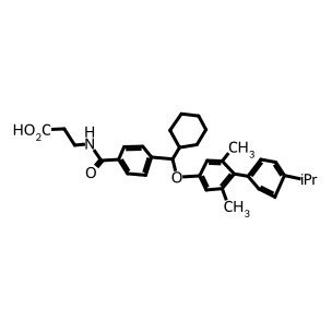 Cc1cc(OC(c2ccc(C(=O)NCCC(=O)O)cc2)C2CCCCC2)cc(C)c1-c1ccc(C(C)C)cc1